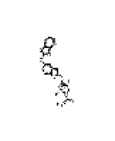 NC(=O)N1C[C@H]2C[C@@H]1CN2Cc1cc2cc(Oc3nc4ncccc4s3)ccc2o1